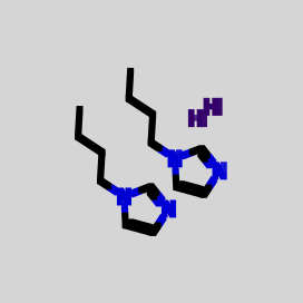 CCCCn1ccnc1.CCCCn1ccnc1.I.I